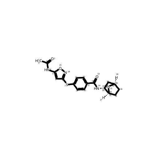 CC(=O)Nc1cc(Sc2ccc(C(=O)N[C@@H]3C[C@H]4CC[C@@H]3N4)cc2)no1